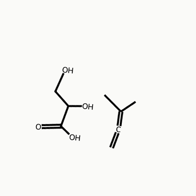 C=C=C(C)C.O=C(O)C(O)CO